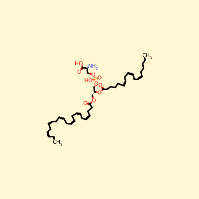 CC/C=C\C/C=C\C/C=C\C/C=C\C/C=C\C/C=C\CCC(=O)OC[C@H](COP(=O)(O)OC[C@H](N)C(=O)O)OC(=O)CCCC/C=C\C/C=C\C/C=C\CCCCC